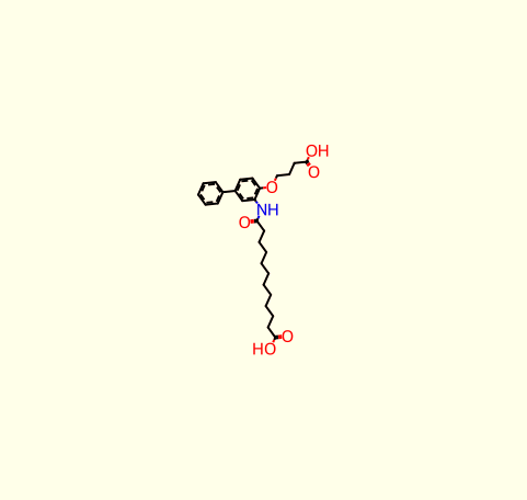 O=C(O)CCCCCCCCCCC(=O)Nc1cc(-c2ccccc2)ccc1OCCCC(=O)O